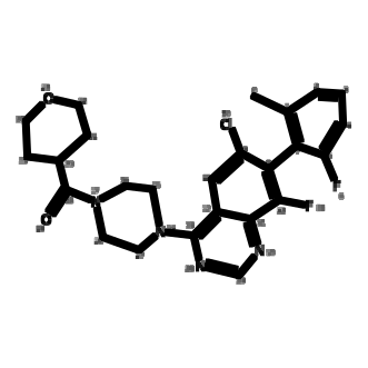 Cc1cccc(F)c1-c1c(Cl)cc2c(N3CCN(C(=O)C4CCOCC4)CC3)ncnc2c1F